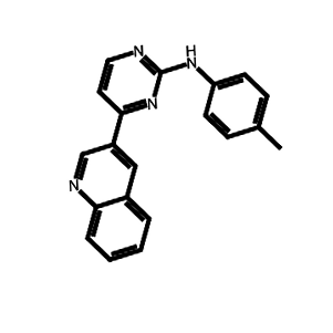 Cc1ccc(Nc2nccc(-c3cnc4ccccc4c3)n2)cc1